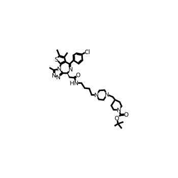 Cc1sc2c(c1C)C(c1ccc(Cl)cc1)=N[C@@H](CC(=O)NCCCCN1CCN(CC3CCN(C(=O)OC(C)(C)C)CC3)CC1)c1nnc(C)n1-2